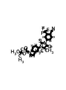 CC(C)(C)OC(=O)n1ncc2cc(N3C(=S)N(c4ccc(C#N)c(C(F)(F)F)c4)C(=O)C3(C)C)ccc21